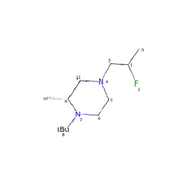 CC(F)CN1CCN(C(C)(C)C)[C@H](C)C1